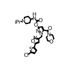 CC(C)N1CCC(NC(=O)Oc2cc(C(=O)N3CCOCC3)n(Cc3cc(-c4ccc(Cl)s4)on3)n2)CC1